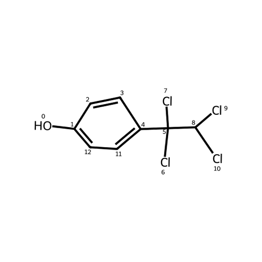 Oc1ccc(C(Cl)(Cl)C(Cl)Cl)cc1